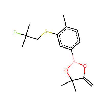 C=C1OB(c2ccc(C)c(SCC(C)(C)F)c2)OC1(C)C